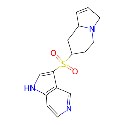 O=S(=O)(c1c[nH]c2ccncc12)C1CCN2CC=CC2C1